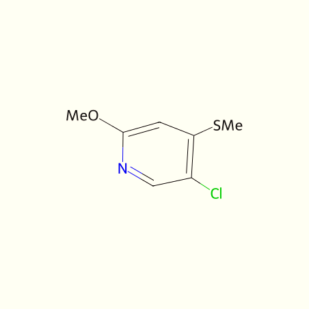 COc1cc(SC)c(Cl)cn1